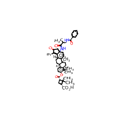 CC(C)C1=C2[C@H]3CC[C@@H]4[C@@]5(C)CC[C@H](OC(=O)[C@H]6C[C@@H](C(=O)O)C6(C)C)C(C)(C)[C@@H]5CC[C@@]4(C)[C@]3(C)CC[C@@]2(NC(=O)C(C)CNC(=O)c2ccccc2)CC1=O